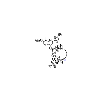 COc1ccc2c(O[C@H]3C[C@@H]4C(=O)NCCCC/C=C\[C@H]5C[C@@]5(C(=O)NS(=O)(=O)C5CC5)NC(=O)[C@@H]4C3)cc(-c3nc(C(C)C)cs3)nc2c1C